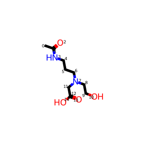 CC(=O)NCCCN(CCO)CC(=O)O